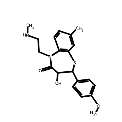 CNCCN1C(=O)C(O)C(c2ccc(OC)cc2)Sc2cc(C)ccc21